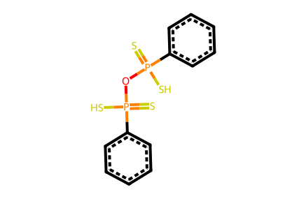 S=P(S)(OP(=S)(S)c1ccccc1)c1ccccc1